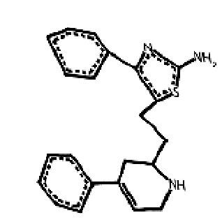 Nc1nc(-c2ccccc2)c(CCC2CC(c3ccccc3)=CCN2)s1